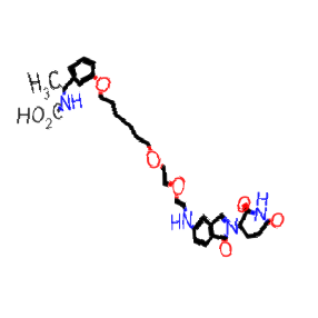 C[C@@H](NC(=O)O)c1cccc(OCCCCCCOCCOCCNc2ccc3c(c2)CN(C2CCC(=O)NC2=O)C3=O)c1